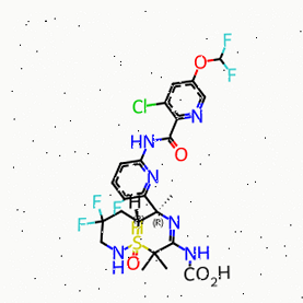 CC1(C)C(NC(=O)O)=N[C@](C)(c2nc(NC(=O)c3ncc(OC(F)F)cc3Cl)ccc2F)[C@H]2CC(F)(F)CN[SH]21=O